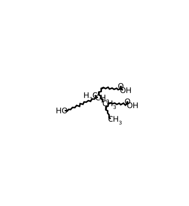 CC(C)CCCCCCCCCCCCCCCO.CCCCC/C=C\C/C=C\CCCCCCCC(=O)O.CCCCC/C=C\C/C=C\CCCCCCCC(=O)O